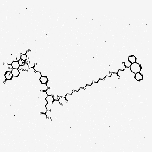 CCCC1O[C@@H]2CC3[C@](C)(C[C@H](O)[C@@H]4[C@@]5(C)C=CC(=O)C=C5CC[C@@]34NC)[C@]2(C(=O)COC(=O)OCc2ccc(NC(=O)[C@H](CCCNC(N)=O)NC(=O)[C@@H](NC(=O)CCOCCOCCOCCOCCNC(=O)CCC(=O)N3Cc4ccccc4C#Cc4ccccc43)C(C)C)cc2)O1